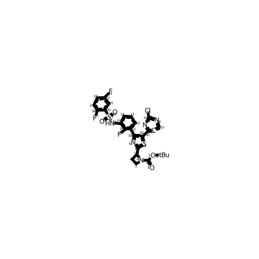 CC(C)(C)OC(=O)N1CCC1c1nc(-c2cccc(NS(=O)(=O)c3cc(F)ccc3F)c2F)c(-c2ccnc(Cl)n2)s1